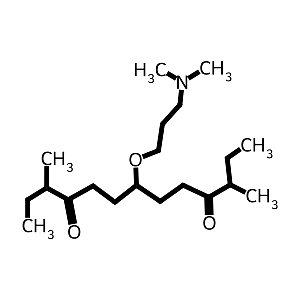 CCC(C)C(=O)CCC(CCC(=O)C(C)CC)OCCCN(C)C